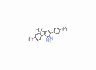 Cc1cc(-c2ccc(C(C)C)cc2)c2nsnc2c1-c1ccc(C(C)C)cc1